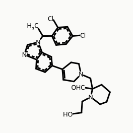 CC(c1ccc(Cl)cc1Cl)n1cnc2ccc(C3=CCN(CC4(C=O)CCCCN4CCO)CC3)cc21